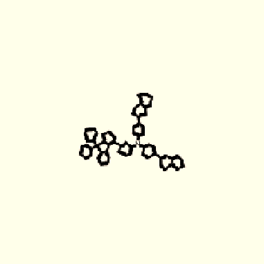 c1ccc(C2(c3ccccc3)c3ccccc3-c3c(-c4cccc(N(c5ccc(-c6ccc7ccccc7c6)cc5)c5ccc(-c6ccc7ccccc7c6)cc5)c4)cccc32)cc1